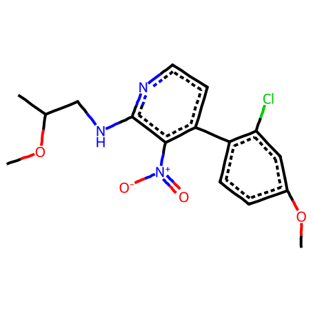 COc1ccc(-c2ccnc(NCC(C)OC)c2[N+](=O)[O-])c(Cl)c1